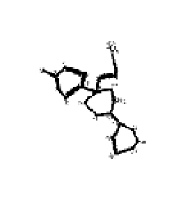 CCC=CC1(c2ccc(C)cc2)CCC(C2CCCCC2)CC1